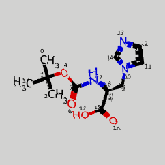 CC(C)(C)OC(=O)N[C@@H](Cn1ccnc1)C(=O)O